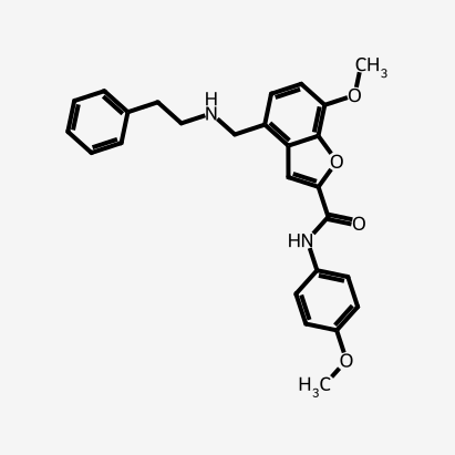 COc1ccc(NC(=O)c2cc3c(CNCCc4ccccc4)ccc(OC)c3o2)cc1